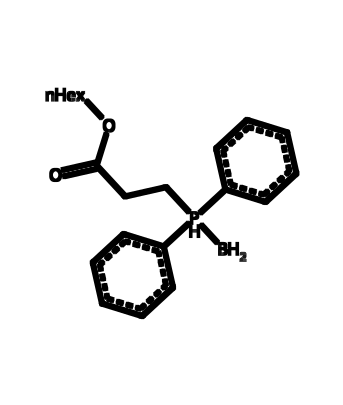 B[PH](CCC(=O)OCCCCCC)(c1ccccc1)c1ccccc1